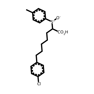 Cc1ccc([S+]([O-])C(CCCCCc2ccc(Cl)cc2)C(=O)O)cc1